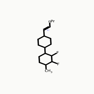 CCC/C=C/C1CCC(C2CCC(C)C(F)C2F)CC1